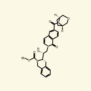 CC(C)(C)OC(=O)N1Cc2ccccc2C[C@H]1[C@H](O)Cn1ccc2cc(C(=O)N3[C@H]4CC[C@H]3COC4)ccc2c1=O